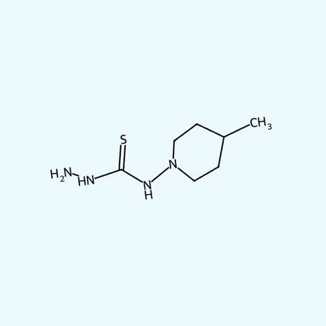 CC1CCN(NC(=S)NN)CC1